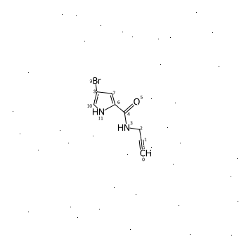 C#CCNC(=O)c1cc(Br)c[nH]1